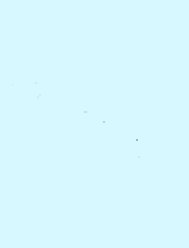 O=[C]CCCCCCCCCCCCCCCCC(=O)O